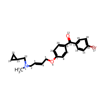 CN(CC=CCOc1ccc(C(=O)c2ccc(Br)cc2)cc1)CC1CC1